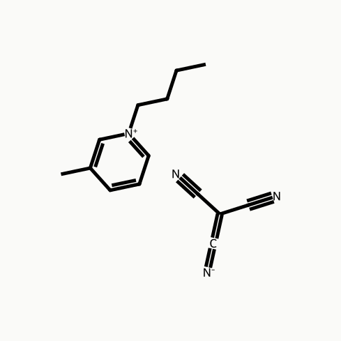 CCCC[n+]1cccc(C)c1.N#CC(=C=[N-])C#N